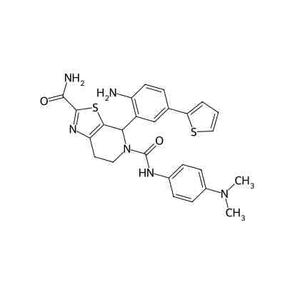 CN(C)c1ccc(NC(=O)N2CCc3nc(C(N)=O)sc3C2c2cc(-c3cccs3)ccc2N)cc1